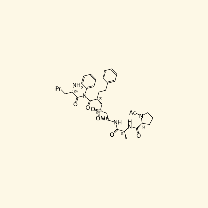 CO[P@](=O)(CCNC(=O)[C@H](C)NC(=O)[C@@H]1CCCN1C(C)=O)C[C@H](CCc1ccccc1)C(=O)N(C(=O)[C@@H](N)CC(C)C)c1ccccc1